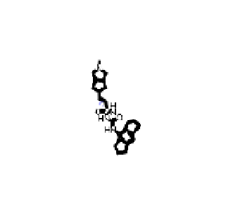 CN1CC2CC(/C=C/S(=N)(=O)NC(=O)Nc3c4c(cc5c3CCC5)CCC4)CC2C1